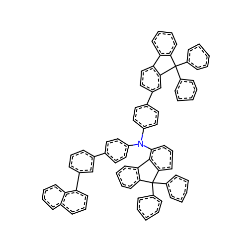 c1ccc(C2(c3ccccc3)c3ccccc3-c3ccc(-c4ccc(N(c5ccc(-c6cccc(-c7cccc8ccccc78)c6)cc5)c5cccc6c5-c5ccccc5C6(c5ccccc5)c5ccccc5)cc4)cc32)cc1